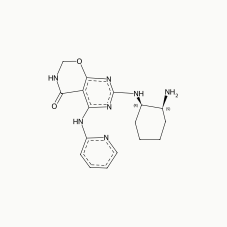 N[C@H]1CCCC[C@H]1Nc1nc(Nc2ccccn2)c2c(n1)OCNC2=O